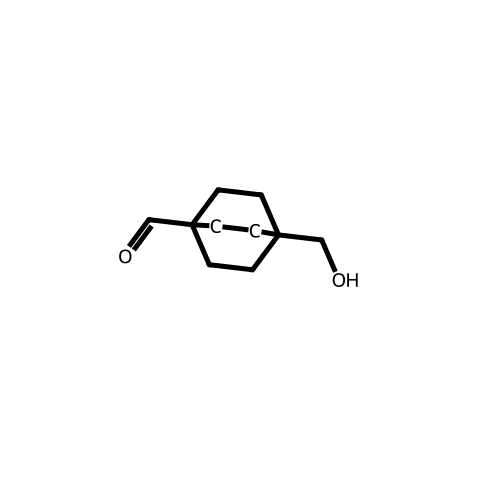 O=CC12CCC(CO)(CC1)CC2